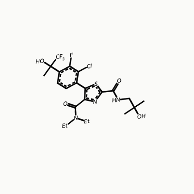 CCN(CC)C(=O)c1nc(C(=O)NCC(C)(C)O)sc1-c1ccc(C(C)(O)C(F)(F)F)c(F)c1Cl